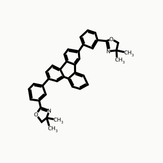 CC1(C)COC(c2cccc(-c3ccc4c5ccc(-c6cccc(C7=NC(C)(C)CO7)c6)cc5c5ccccc5c4c3)c2)=N1